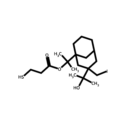 CC(C)(O)C1(CI)CC2CCCC(C(C)(C)OC(=O)CCS)(C2)C1